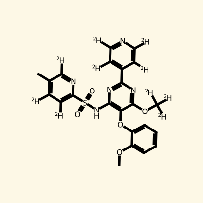 [2H]c1nc([2H])c([2H])c(-c2nc(NS(=O)(=O)c3nc([2H])c(C)c([2H])c3[2H])c(Oc3ccccc3OC)c(OC([2H])([2H])[2H])n2)c1[2H]